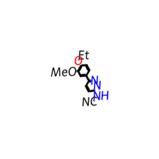 CCOc1ccc(-c2ccc(NC#N)nn2)cc1OC